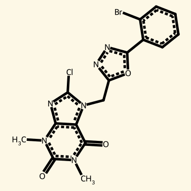 Cn1c(=O)c2c(nc(Cl)n2Cc2nnc(-c3ccccc3Br)o2)n(C)c1=O